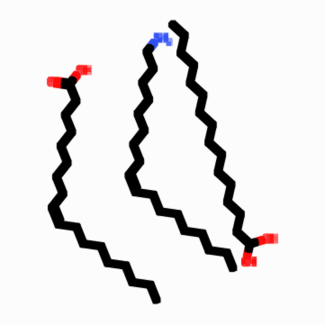 CCCCCCCC/C=C\CCCCCCCC(=O)O.CCCCCCCC/C=C\CCCCCCCCN.CCCCCCCCCCCCCCCC(O)O